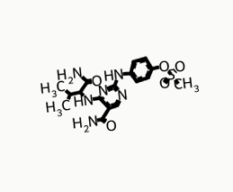 CC(C)C(Nc1nc(Nc2ccc(OS(C)(=O)=O)cc2)ncc1C(N)=O)C(N)=O